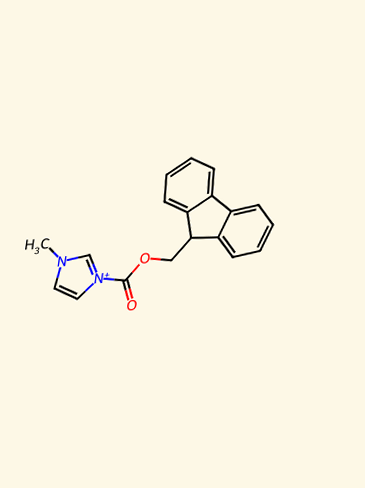 Cn1cc[n+](C(=O)OCC2c3ccccc3-c3ccccc32)c1